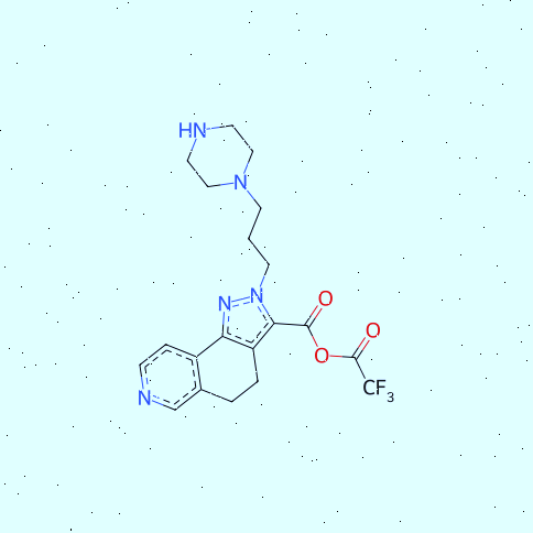 O=C(OC(=O)C(F)(F)F)c1c2c(nn1CCCN1CCNCC1)-c1ccncc1CC2